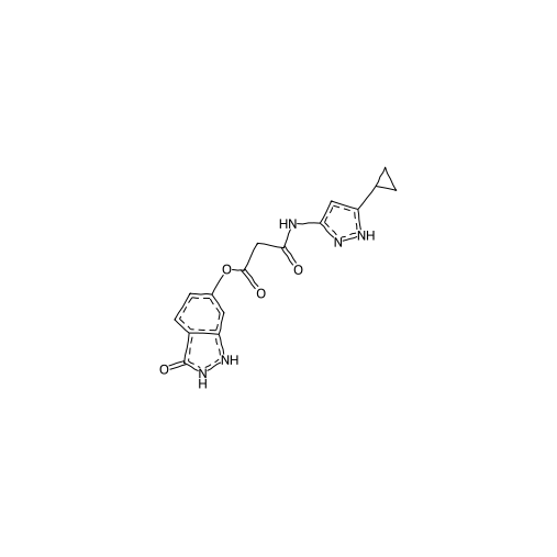 O=C(CC(=O)Oc1ccc2c(=O)[nH][nH]c2c1)Nc1cc(C2CC2)[nH]n1